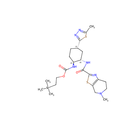 Cc1nnc([C@H]2CC[C@H](NC(=O)OCC[Si](C)(C)C)[C@@H](NC(=O)c3nc4c(s3)CN(C)CC4)C2)s1